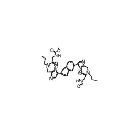 CCCN(Cc1ncc(-c2ccc3cc(-c4cnc(CN(CCC)C(=O)CNC(=O)OC)[nH]4)ccc3c2)[nH]1)C(=O)CNC=O